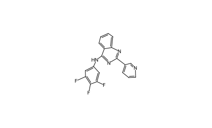 Fc1cc(Nc2nc(-c3cccnc3)nc3ccccc23)cc(F)c1F